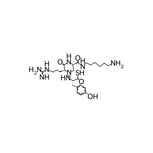 N=C(N)NCCC[C@H]1C(=O)N[C@@H](C(=O)NCCCCCCN)CN1N[C@@H](Cc1ccc(O)cc1)C(=O)S